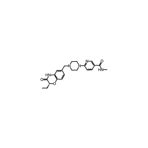 CC[C@@H]1Oc2ccc(CN3CCN(c4ccc(C(=O)NC)cn4)CC3)cc2NC1=O